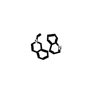 C=CN1C=Cc2ccccc2C1.c1ccc2ncccc2c1